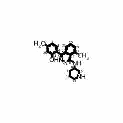 Cc1ccc(-c2nnc(NC3CCCNC3)c3c(C)cccc23)c(O)c1